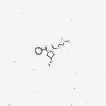 CCON=C1C[C@@H](C(=O)NCCN(CC)CC)N(C(=O)c2ccccc2)C1